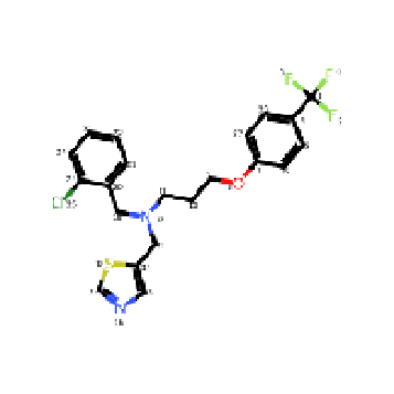 FC(F)(F)c1ccc(OCCCN(Cc2cncs2)Cc2ccccc2Cl)cc1